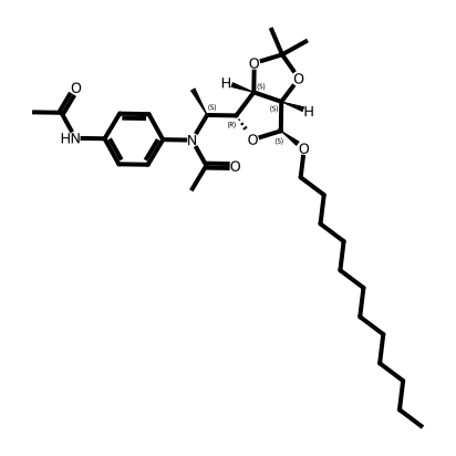 CCCCCCCCCCCCO[C@H]1O[C@H]([C@H](C)N(C(C)=O)c2ccc(NC(C)=O)cc2)[C@@H]2OC(C)(C)O[C@H]12